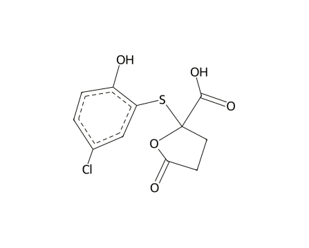 O=C1CCC(Sc2cc(Cl)ccc2O)(C(=O)O)O1